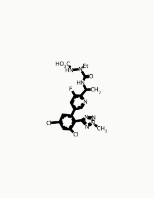 CCN(NC(=O)O)C(=O)NC(C)c1ncc(-c2cc(Cl)cc(Cl)c2-c2nnn(C)n2)cc1F